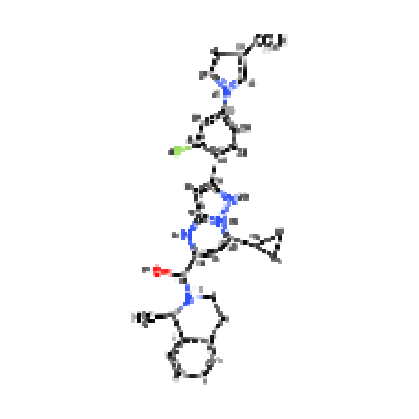 C[C@@H]1c2ccccc2CCN1C(=O)c1cc(C2CC2)n2nc(-c3ccc(-n4ccc(C(=O)O)c4)cc3F)cc2n1